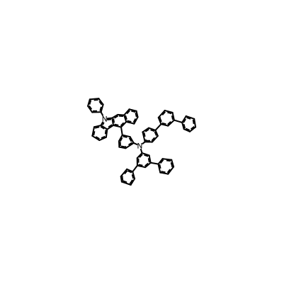 c1ccc(-c2cccc(-c3ccc(N(c4cc(-c5ccccc5)cc(-c5ccccc5)c4)c4cccc(-c5c6ccccc6cc6c5c5ccccc5n6-c5ccccc5)c4)cc3)c2)cc1